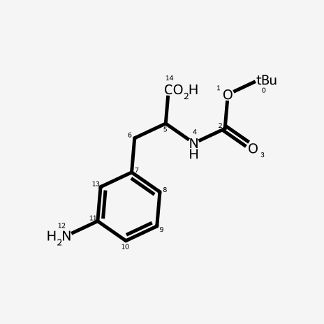 CC(C)(C)OC(=O)NC(Cc1cccc(N)c1)C(=O)O